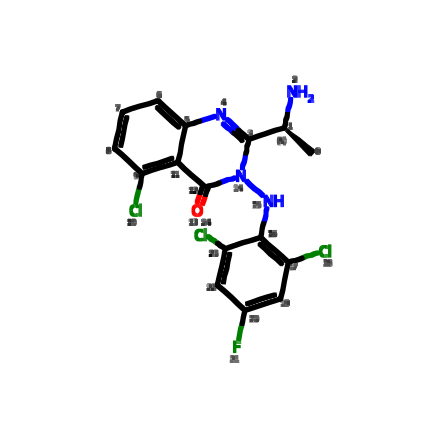 C[C@H](N)c1nc2cccc(Cl)c2c(=O)n1Nc1c(Cl)cc(F)cc1Cl